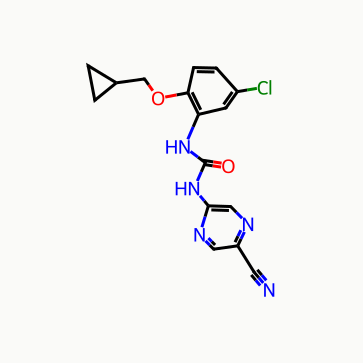 N#Cc1cnc(NC(=O)Nc2cc(Cl)ccc2OCC2CC2)cn1